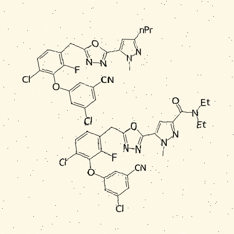 CCCc1cc(-c2nnc(Cc3ccc(Cl)c(Oc4cc(Cl)cc(C#N)c4)c3F)o2)n(C)n1.CCN(CC)C(=O)c1cc(-c2nnc(Cc3ccc(Cl)c(Oc4cc(Cl)cc(C#N)c4)c3F)o2)n(C)n1